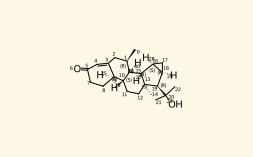 C[C@@H]1CC2=CC(=O)CC[C@@H]2[C@H]2CC[C@@]3(C)[C@H]([C@H]4C[C@H]4[C@H]3C(C)(C)O)[C@@H]21